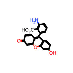 Nc1cccc(-c2c3ccc(=O)cc-3oc3cc(O)ccc23)c1C(=O)O